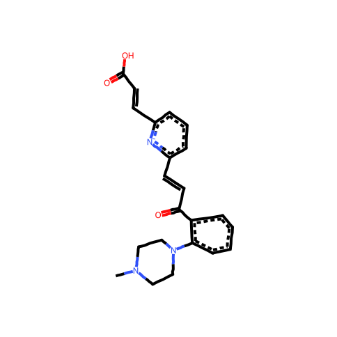 CN1CCN(c2ccccc2C(=O)/C=C/c2cccc(/C=C/C(=O)O)n2)CC1